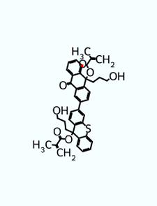 C=C(C)C(=O)OC1(CCCO)c2ccccc2Sc2cc(-c3ccc4c(c3)C(=O)c3ccccc3C4(CCCO)OC(=O)C(=C)C)ccc21